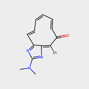 CC/C1=C2\N=C(N(C)C)N=C2/C=C/C=C\C=C\C1=O